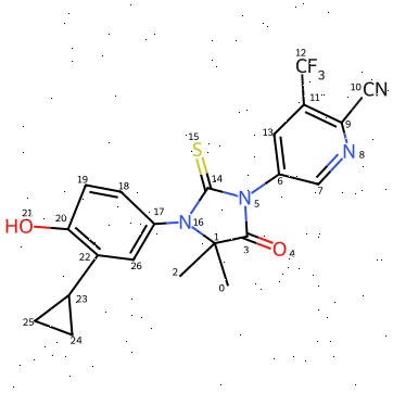 CC1(C)C(=O)N(c2cnc(C#N)c(C(F)(F)F)c2)C(=S)N1c1ccc(O)c(C2CC2)c1